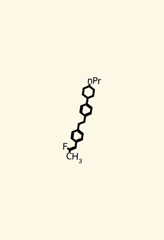 CCCC1CCC(c2ccc(CCc3ccc(C=C(C)F)cc3)cc2)CC1